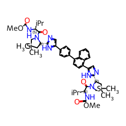 COC(=O)N[C@H](C(=O)N1C[Si](C)(C)C[C@H]1c1ncc(-c2ccc(-c3ccc(-c4cnc([C@@H]5C[Si](C)(C)CN5C(=O)[C@@H](NC(=O)OC)C(C)C)[nH]4)c4ccccc34)cc2)[nH]1)C(C)C